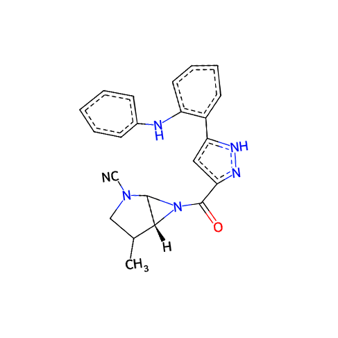 CC1CN(C#N)C2[C@@H]1N2C(=O)c1cc(-c2ccccc2Nc2ccccc2)[nH]n1